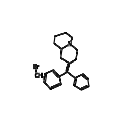 CBr.c1ccc(C(=C2CCN3CCCCC3C2)c2ccccc2)cc1